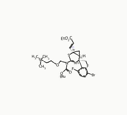 CCOC(=O)/C=C/[C@]12C[C@H]1[C@@](CF)(c1cc(Br)ccc1F)N=C(N(COCC[Si](C)(C)C)C(=O)OC(C)(C)C)S2